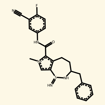 Cn1cc2c(c1C(=O)Nc1ccc(F)c(C#N)c1)CCC(Cc1ccccc1)NS2=N